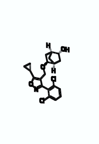 O[C@@H]1C[C@@H]2C[C@H]1C[C@@H]2OCc1c(-c2c(Cl)cccc2Cl)noc1C1CC1